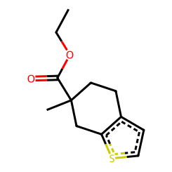 CCOC(=O)C1(C)CCc2ccsc2C1